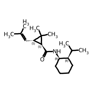 CC(C)=C[C@H]1[C@H](C(=O)N[C@@H]2CCCC[C@@H]2C(C)C)C1(C)C